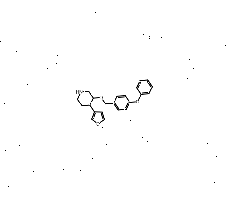 c1ccc(Oc2ccc(COC3CNCCC3c3ccoc3)cc2)cc1